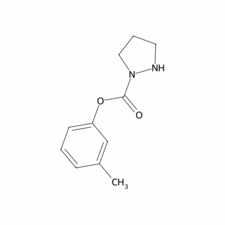 Cc1cccc(OC(=O)N2CCCN2)c1